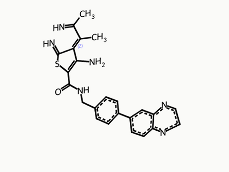 CC(=N)/C(C)=C1\C(=N)SC(C(=O)NCc2ccc(-c3ccc4nccnc4c3)cc2)=C1N